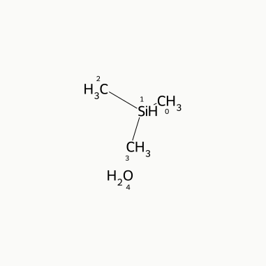 C[SiH](C)C.O